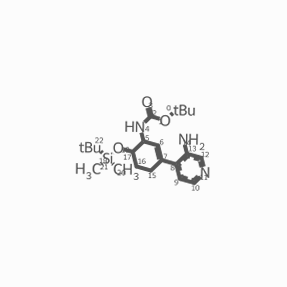 CC(C)(C)OC(=O)NC1C=C(c2ccncc2N)CCC1O[Si](C)(C)C(C)(C)C